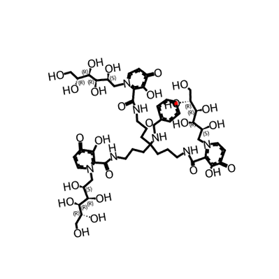 O=C(NC(CCCNC(=O)c1c(O)c(=O)ccn1C[C@H](O)[C@@H](O)[C@H](O)[C@H](O)CO)(CCCNC(=O)c1c(O)c(=O)ccn1C[C@H](O)[C@@H](O)[C@H](O)[C@H](O)CO)CCCNC(=O)c1c(O)c(=O)ccn1C[C@H](O)[C@@H](O)[C@H](O)[C@H](O)CO)c1ccccc1